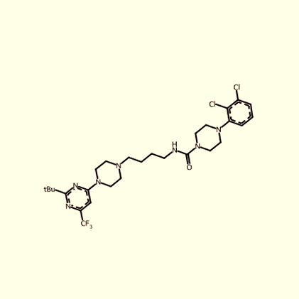 CC(C)(C)c1nc(N2CCN(CCCCNC(=O)N3CCN(c4cccc(Cl)c4Cl)CC3)CC2)cc(C(F)(F)F)n1